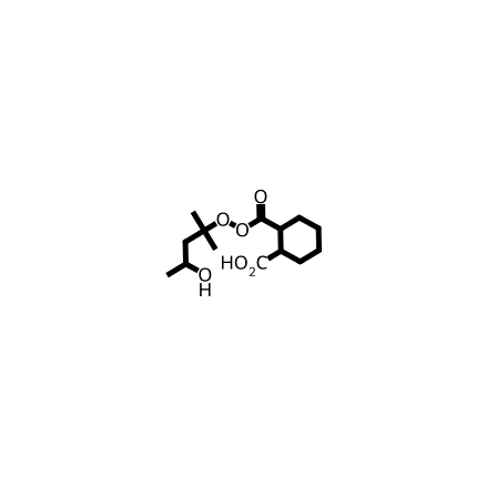 CC(O)CC(C)(C)OOC(=O)C1CCCCC1C(=O)O